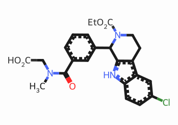 CCOC(=O)N1CCc2c([nH]c3ccc(Cl)cc23)C1c1cccc(C(=O)N(C)CC(=O)O)c1